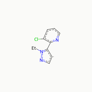 CCn1nc[c]c1-c1ncccc1Cl